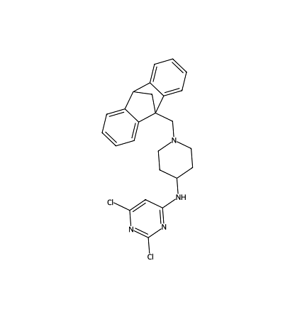 Clc1cc(NC2CCN(CC34CC(c5ccccc53)c3ccccc34)CC2)nc(Cl)n1